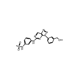 COCc1cccc(-n2nnc3cnc(Nc4cccc(NS(C)(=O)=O)c4)nc32)c1